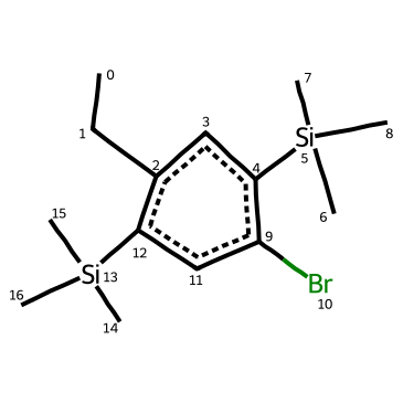 CCc1cc([Si](C)(C)C)c(Br)cc1[Si](C)(C)C